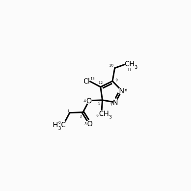 CCC(=O)OC1(C)N=NC(CC)=C1Cl